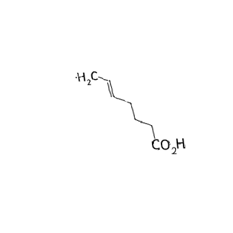 [CH2]/C=C/CCCC(=O)O